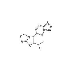 CC(C)C1=C(c2ccc3sccc3c2)N2CCN=C2S1